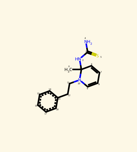 CC1(NC(N)=S)C=CC=CN1CCc1ccccc1